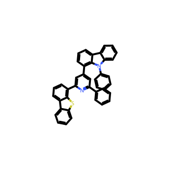 c1ccc(-c2cc(-c3cccc4c5ccccc5n(-c5ccccc5)c34)cc(-c3cccc4c3sc3ccccc34)n2)cc1